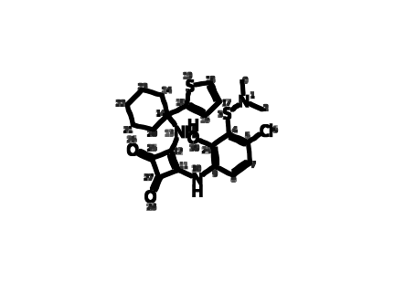 CN(C)Sc1c(Cl)ccc(Nc2c(NC3(c4cccs4)CCCCC3)c(=O)c2=O)c1O